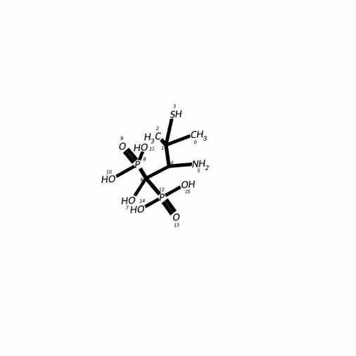 CC(C)(S)C(N)C(O)(P(=O)(O)O)P(=O)(O)O